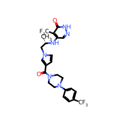 C[C@@H](Cn1ccc(C(=O)N2CCN(c3ccc(C(F)(F)F)cc3)CC2)c1)Nc1cn[nH]c(=O)c1C(F)(F)F